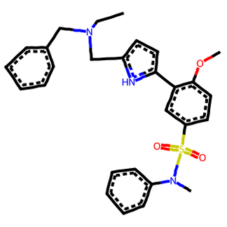 CCN(Cc1ccccc1)Cc1ccc(-c2cc(S(=O)(=O)N(C)c3ccccc3)ccc2OC)[nH]1